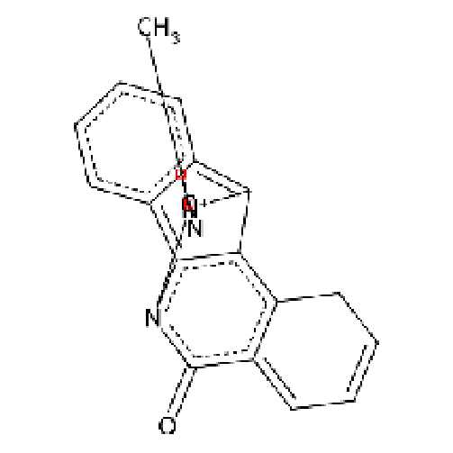 CN1CC[N+]2(CC1)C1=c3ccccc3=c3c1c1c(c(=O)n32)=CC=CC1